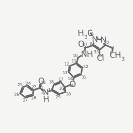 CCc1nn(C)c(C(=O)NCc2ccc(Oc3ccc(NC(=O)c4ccccc4)cc3)cc2)c1Cl